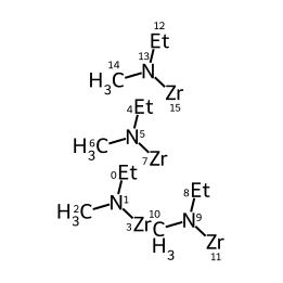 CC[N](C)[Zr].CC[N](C)[Zr].CC[N](C)[Zr].CC[N](C)[Zr]